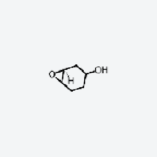 OC1CCC2O[C@H]2C1